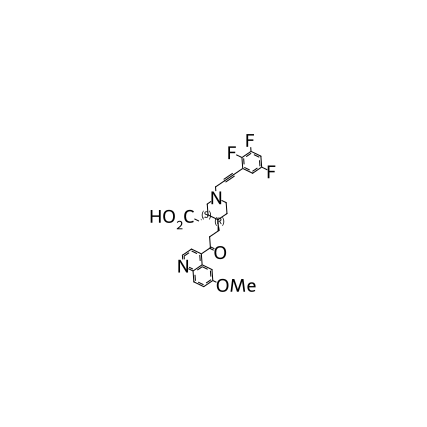 COc1ccc2nccc(C(=O)CC[C@@H]3CCN(CC#Cc4cc(F)cc(F)c4F)C[C@H]3CC(=O)O)c2c1